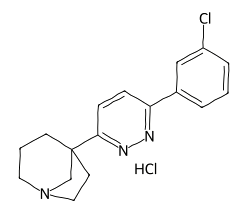 Cl.Clc1cccc(-c2ccc(C34CCCN(CC3)C4)nn2)c1